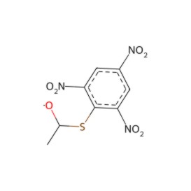 CC([O])Sc1c([N+](=O)[O-])cc([N+](=O)[O-])cc1[N+](=O)[O-]